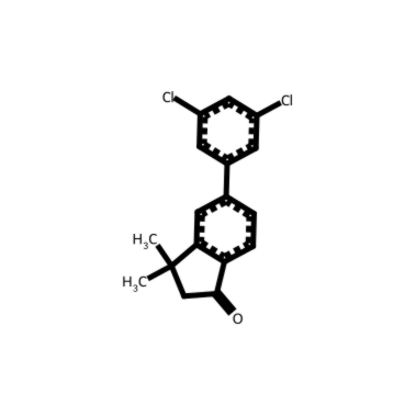 CC1(C)CC(=O)c2ccc(-c3cc(Cl)cc(Cl)c3)cc21